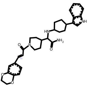 NC(=O)C(NC1CCC(c2c[nH]c3ccccc23)CC1)C1CCN(C(=O)/C=C/c2ccc3c(c2)OCCO3)CC1